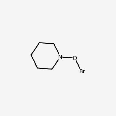 BrON1CCCCC1